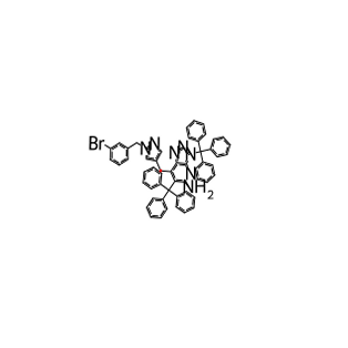 Nc1nc2c(nnn2C(c2ccccc2)(c2ccccc2)c2ccccc2)c(Cc2cnn(Cc3cccc(Br)c3)c2)c1C(c1ccccc1)(c1ccccc1)c1ccccc1